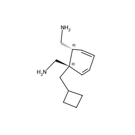 NC[C@@H]1C=CC=C[C@]1(CN)CC1CCC1